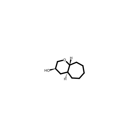 O[C@H]1CO[C@@H]2CCCCC[C@H]2C1